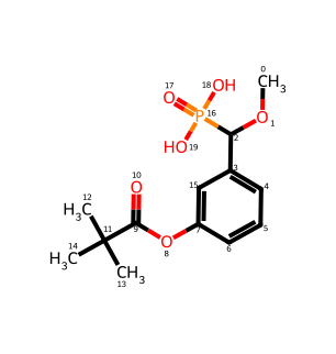 COC(c1cccc(OC(=O)C(C)(C)C)c1)P(=O)(O)O